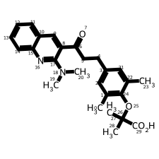 Cc1cc(CCC(=O)c2cc3ccccc3nc2N(C)C)cc(C)c1OC(C)(C)C(=O)O